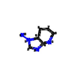 [N]n1cnc2ncccc21